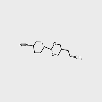 C=CC[C@H]1CO[C@H]([C@H]2CC[C@H](C#N)CC2)OC1